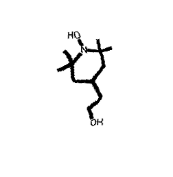 CC1(C)CC(CCO)CC(C)(C)N1O